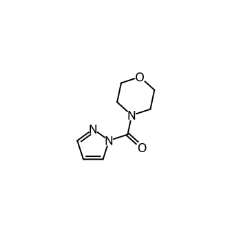 O=C(N1CCOCC1)n1cccn1